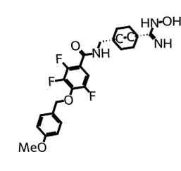 COc1ccc(COc2c(F)cc(C(=O)NC[C@]34CC[C@](C(=N)NO)(CC3)CC4)c(F)c2F)cc1